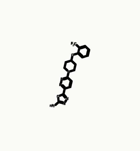 CCCc1nnc(-c2ccc(N3CCC(Oc4ccccc4C(F)(F)F)CC3)nn2)o1